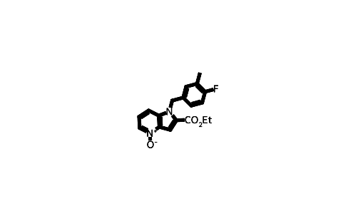 CCOC(=O)c1cc2c(ccc[n+]2[O-])n1Cc1ccc(F)c(C)c1